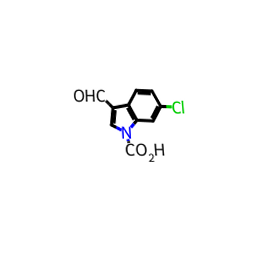 O=Cc1cn(C(=O)O)c2cc(Cl)ccc12